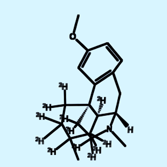 [2H]C1([2H])N(C)[C@H]2Cc3ccc(OC)cc3[C@]3(C1([2H])[2H])C([2H])([2H])C([2H])([2H])C([2H])(C)C([2H])([2H])[C@]23[2H]